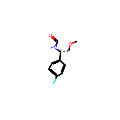 COC[C@@H](NC=O)c1ccc(F)cc1